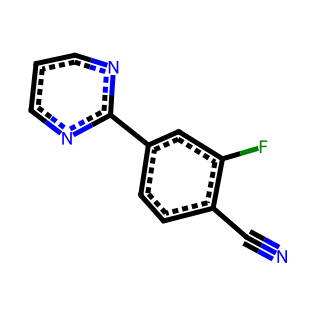 N#Cc1ccc(-c2ncccn2)cc1F